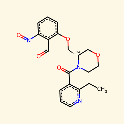 CCc1ncccc1C(=O)N1CCOC[C@H]1COc1cccc(N=O)c1C=O